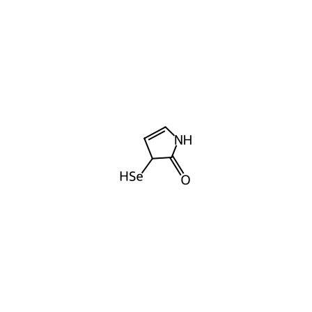 O=C1NC=CC1[SeH]